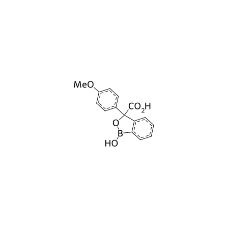 COc1ccc(C2(C(=O)O)OB(O)c3ccccc32)cc1